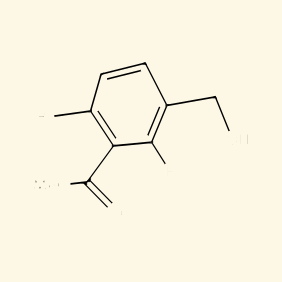 COC(=O)c1c(Br)ccc(CO)c1F